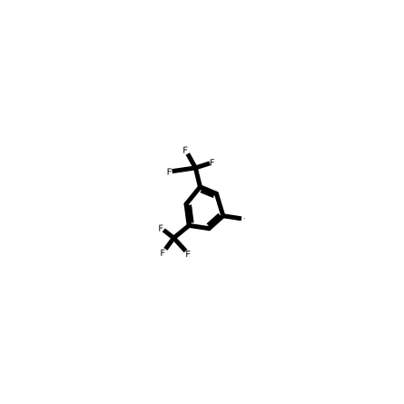 [CH2]c1cc(C(F)(F)F)cc(C(F)(F)F)c1